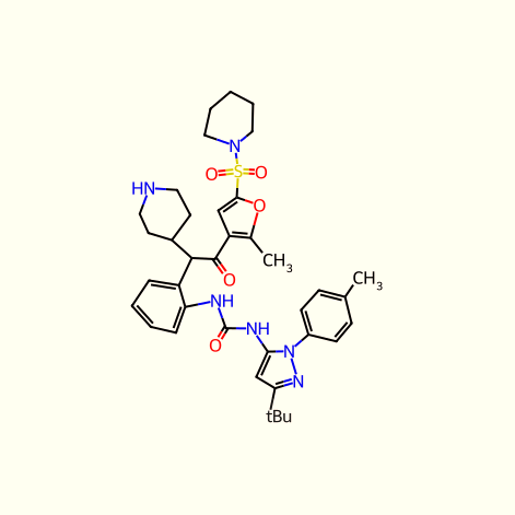 Cc1ccc(-n2nc(C(C)(C)C)cc2NC(=O)Nc2ccccc2C(C(=O)c2cc(S(=O)(=O)N3CCCCC3)oc2C)C2CCNCC2)cc1